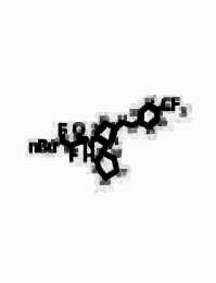 CCCC[C@H](F)[C@H](F)C(=O)Nc1ccc(CCc2ccc(C(F)(F)F)cc2)cc1C1CCCCC1